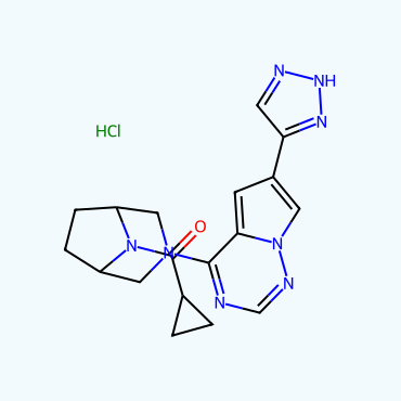 Cl.O=C(C1CC1)N1C2CCC1CN(c1ncnn3cc(-c4cn[nH]n4)cc13)C2